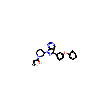 C=CC(=O)N1CCCC(n2nc(-c3cccc(Oc4ccccc4)c3)c3cncnc32)C1